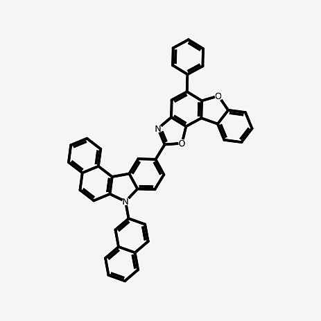 c1ccc(-c2cc3nc(-c4ccc5c(c4)c4c6ccccc6ccc4n5-c4ccc5ccccc5c4)oc3c3c2oc2ccccc23)cc1